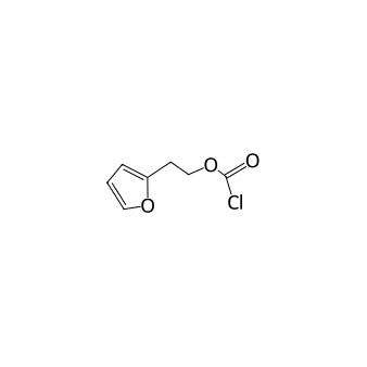 O=C(Cl)OCCc1ccco1